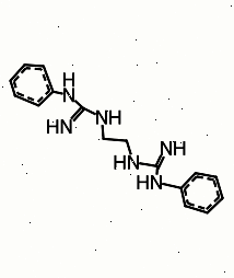 N=C(NCCNC(=N)Nc1ccccc1)Nc1ccccc1